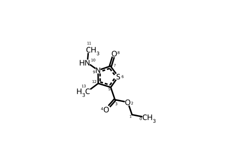 CCOC(=O)c1sc(=O)n(NC)c1C